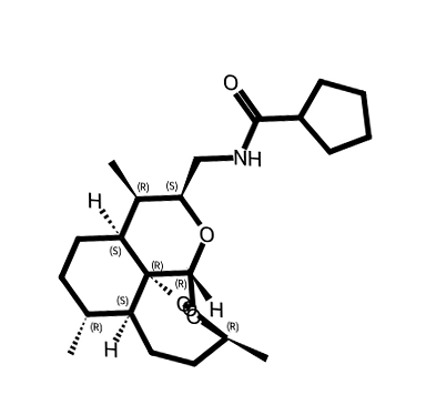 C[C@H]1[C@@H](CNC(=O)C2CCCC2)O[C@@H]2O[C@@]3(C)CC[C@H]4[C@H](C)CC[C@@H]1[C@@]24OO3